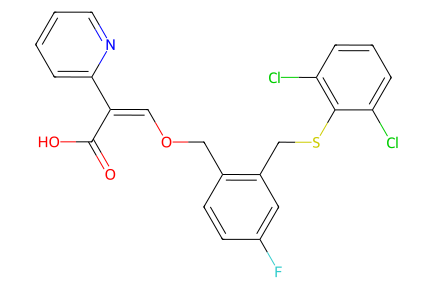 O=C(O)C(=COCc1ccc(F)cc1CSc1c(Cl)cccc1Cl)c1ccccn1